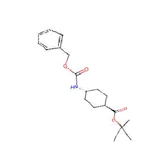 CC(C)(C)OC(=O)[C@H]1CC[C@H](NC(=O)OCc2ccccc2)CC1